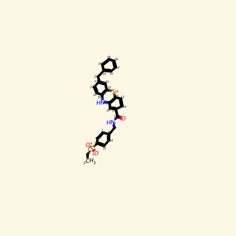 CCS(=O)(=O)c1ccc(CNC(=O)c2ccc3c(c2)Nc2ccc(Cc4ccccc4)cc2S3)cc1